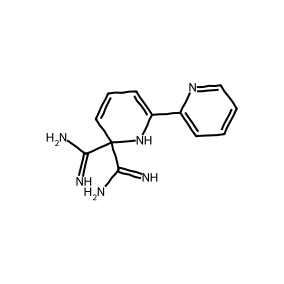 N=C(N)C1(C(=N)N)C=CC=C(c2ccccn2)N1